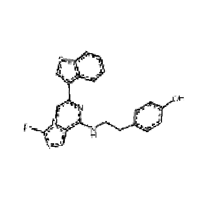 CC(C)c1ncc2c(NCCc3ccc(O)cc3)nc(-c3csc4ccccc34)cn12